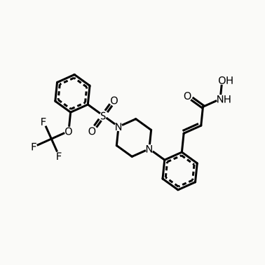 O=C(C=Cc1ccccc1N1CCN(S(=O)(=O)c2ccccc2OC(F)(F)F)CC1)NO